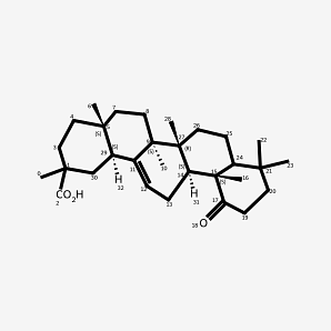 CC1(C(=O)O)CC[C@]2(C)CC[C@]3(C)C(=CC[C@@H]4[C@@]5(C)C(=O)CCC(C)(C)C5CC[C@]43C)[C@H]2C1